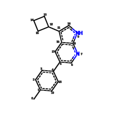 Cc1ccc(-c2cnc3[nH]cc(C4CCC4)c3c2)cc1